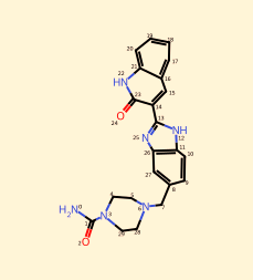 NC(=O)N1CCN(Cc2ccc3[nH]c(-c4cc5ccccc5[nH]c4=O)nc3c2)CC1